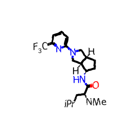 CN[C@@H](CC(C)C)C(=O)N[C@H]1CC[C@@H]2CN(c3cccc(C(F)(F)F)n3)C[C@@H]21